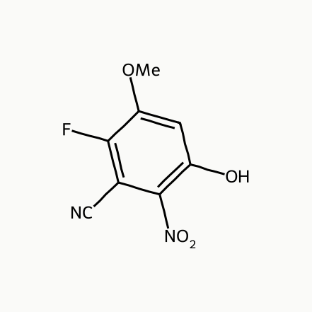 COc1cc(O)c([N+](=O)[O-])c(C#N)c1F